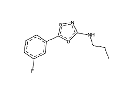 CCCNc1nnc(-c2cccc(F)c2)o1